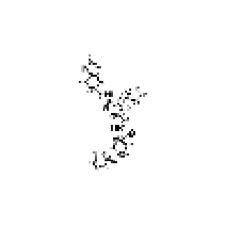 CC(=O)Nc1ccc(CNC(=O)[C@@H]2CC3(CN2C(=O)CNC(=O)c2ccc(Oc4ccccc4)cc2)OCCO3)cc1